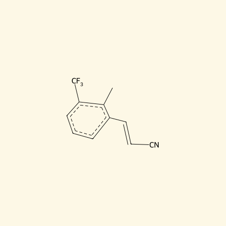 Cc1c(/C=C/C#N)cccc1C(F)(F)F